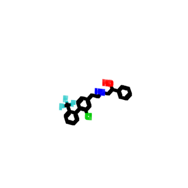 OC(CNCCc1ccc(-c2ccccc2C(F)(F)F)c(Cl)c1)c1ccccc1